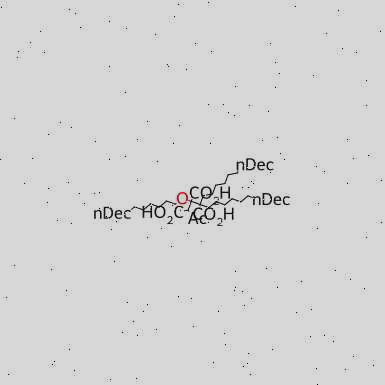 CCCCCCCCCCCCCCCCOC(C(=O)O)(C(C(C)=O)C(=O)O)C(CCCCCCCCCCCCCCCC)(CCCCCCCCCCCCCCCC)C(=O)O